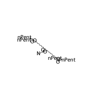 CCCCCC(CCCCC)CC(=O)OCCCCCCCCCCC(CCCCCCCCCCOC(=O)CC(CCCCC)CCCCC)OC(=O)CCCN(C)C